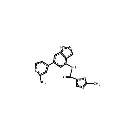 Cc1nc(C(=O)Nc2cc(-c3ccnc(N)c3)cc3[nH]ncc23)cs1